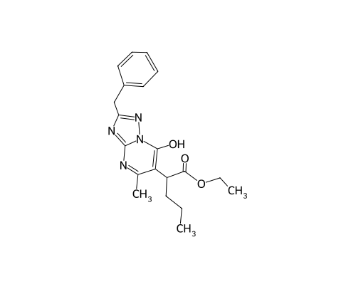 CCCC(C(=O)OCC)c1c(C)nc2nc(Cc3ccccc3)nn2c1O